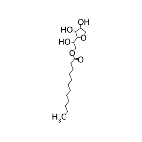 CCCCCCCCCCCC(=O)OCC(O)C1OC[C@H](O)[C@H]1O